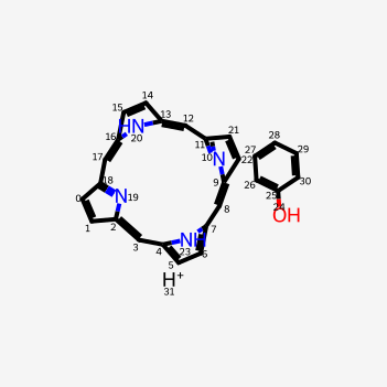 C1=Cc2cc3ccc(cc4nc(cc5ccc(cc1n2)[nH]5)C=C4)[nH]3.Oc1ccccc1.[H+]